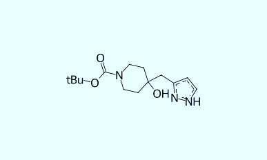 CC(C)(C)OC(=O)N1CCC(O)(Cc2cc[nH]n2)CC1